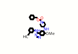 C#Cc1cccc(Nc2ncnc3cc(OC)c(NC4CCN(C(=O)OCc5ccccc5)CC4)cc23)c1